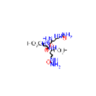 NC(=O)NCCC[C@H](NC(=O)[C@H](CCC(=O)O)NC(=O)[C@@H](N)CCCNC(N)=O)C(=O)O